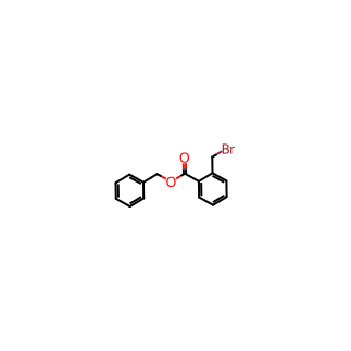 O=C(OCc1ccccc1)c1ccccc1CBr